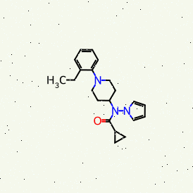 CCc1ccccc1N1CCC(N(C(=O)C2CC2)n2cccc2)CC1